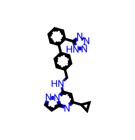 c1ccc(-c2nnn[nH]2)c(-c2ccc(CNc3cc(C4CC4)nc4ccnn34)cc2)c1